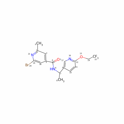 Cc1cc(C(=O)NC(C)c2ccc(OCC(F)(F)F)nc2)cc(Br)n1